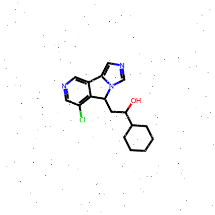 OC(CC1c2c(Cl)cncc2-c2cncn21)C1CCCCC1